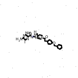 Nc1nc(N)c(C(=O)/N=C2\NCC3(CCN(C(=O)Cc4ccc(OCc5ccccc5)cc4)CC3)N2)nc1I